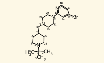 CC(C)(C)N1CCC(CN2CCN(c3cc(Br)ccn3)CC2)CC1